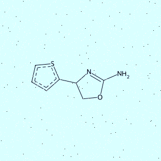 NC1=NC(c2cccs2)CO1